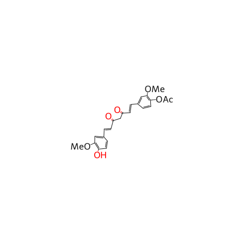 COc1cc(/C=C/C(=O)CC(=O)/C=C/c2ccc(OC(C)=O)c(OC)c2)ccc1O